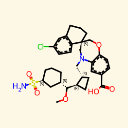 COC([C@H]1CCC[C@H](S(N)(=O)=O)C1)[C@@H]1CC[C@H]1CN1C[C@@]2(CCCc3cc(Cl)ccc32)COc2ccc(C(=O)O)cc21